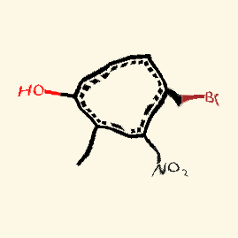 Cc1c(O)ccc(Br)c1[N+](=O)[O-]